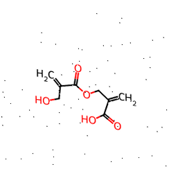 C=C(COC(=O)C(=C)CO)C(=O)O